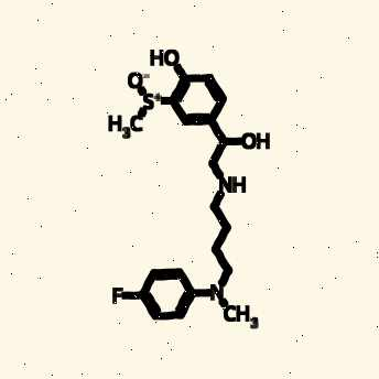 CN(CCCCNCC(O)c1ccc(O)c([S+](C)[O-])c1)c1ccc(F)cc1